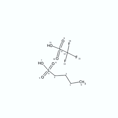 CCCCS(=O)(=O)O.O=S(=O)(O)C(F)(F)F